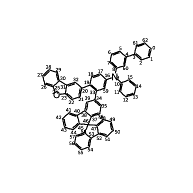 c1ccc(-c2cccc(N(c3ccccc3)c3ccc(-c4ccc5oc6ccccc6c5c4)c(-c4ccc5c(c4)-c4ccccc4C54c5ccccc5-c5ccccc54)c3)c2)cc1